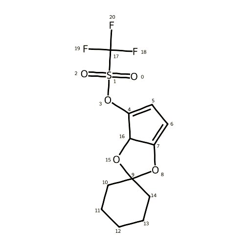 O=S(=O)(OC1=CC=C2OC3(CCCCC3)OC21)C(F)(F)F